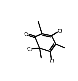 CC1=C(Cl)C(C)=C(Cl)C(C)(Cl)C1=O